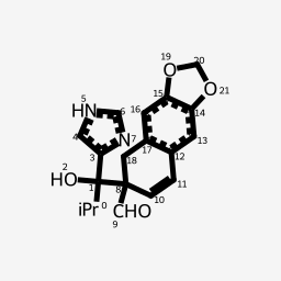 CC(C)C(O)(c1c[nH]cn1)C1(C=O)C=Cc2cc3c(cc2C1)OCO3